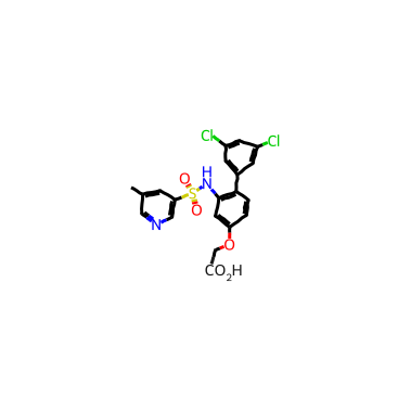 Cc1cncc(S(=O)(=O)Nc2cc(OCC(=O)O)ccc2-c2cc(Cl)cc(Cl)c2)c1